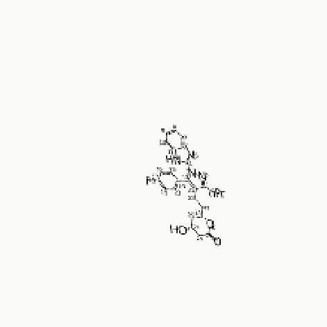 CC(C)c1nn(-c2nc3ccccc3[nH]2)c(-c2ccc(F)cc2)c1CCC1CC(O)CC(=O)O1